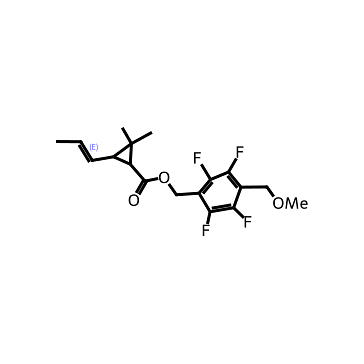 C/C=C/C1C(C(=O)OCc2c(F)c(F)c(COC)c(F)c2F)C1(C)C